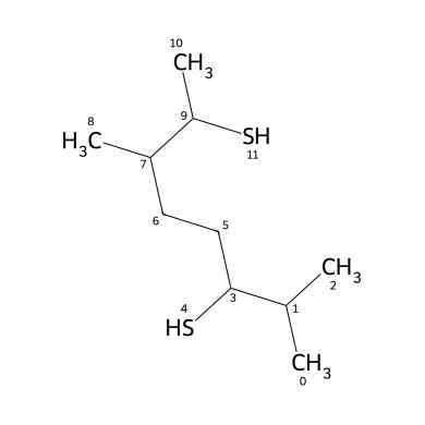 CC(C)C(S)CCC(C)C(C)S